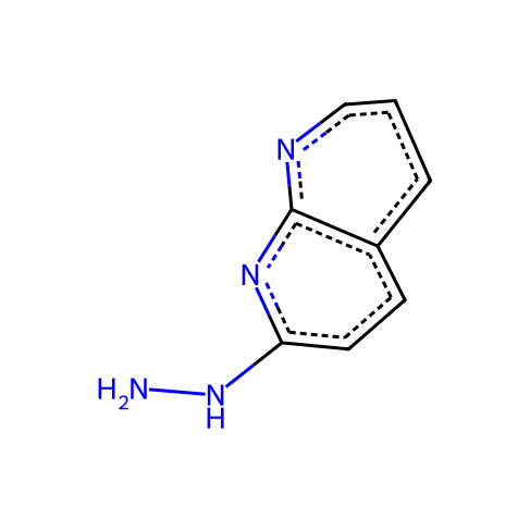 NNc1ccc2cccnc2n1